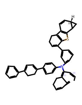 C=C1C=CCC/C1=C(/C=C\C)N(c1ccc(C2=CC=C(c3ccccc3)CC2)cc1)c1cccc(C2=CCCc3c2sc2c3C=C[C@@H]3CC23)c1